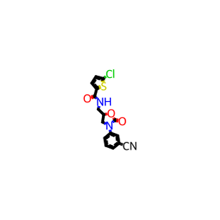 N#Cc1cccc(N2CC(CNC(=O)c3ccc(Cl)s3)OC2=O)c1